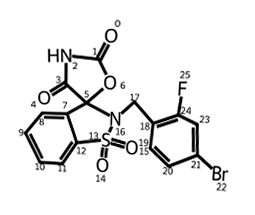 O=C1NC(=O)C2(O1)c1ccccc1S(=O)(=O)N2Cc1ccc(Br)cc1F